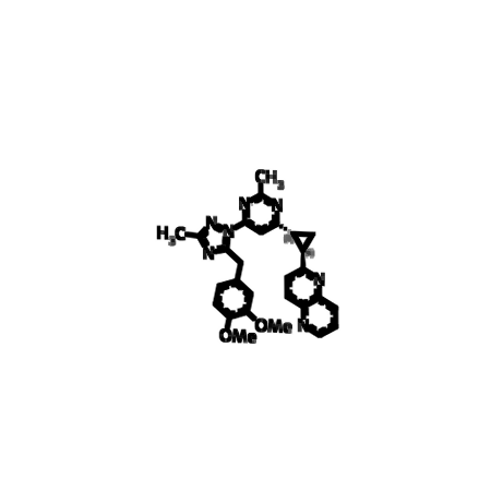 COc1ccc(Cc2nc(C)nn2-c2cc([C@@H]3C[C@H]3c3ccc4ncccc4n3)nc(C)n2)cc1OC